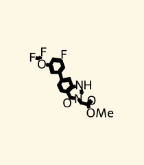 COC(=O)CN1CNc2cc(-c3cc(F)cc(OC(F)F)c3)ccc2C1=O